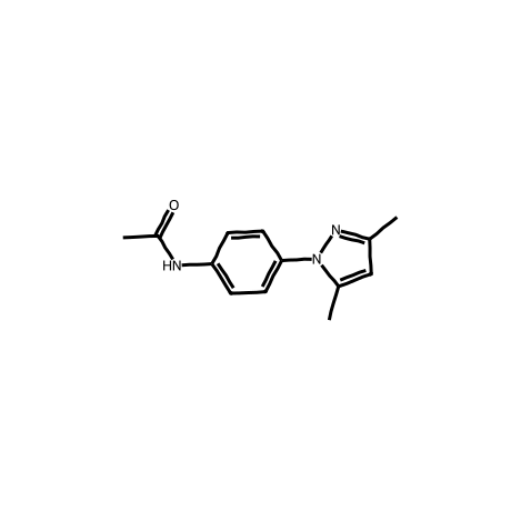 CC(=O)Nc1ccc(-n2nc(C)cc2C)cc1